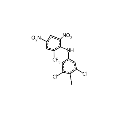 O=[N+]([O-])c1cc([N+](=O)[O-])c(Nc2cc(Cl)c(I)c(Cl)c2)c(C(F)(F)F)c1